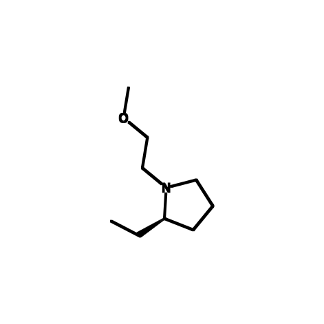 CC[C@@H]1CCCN1CCOC